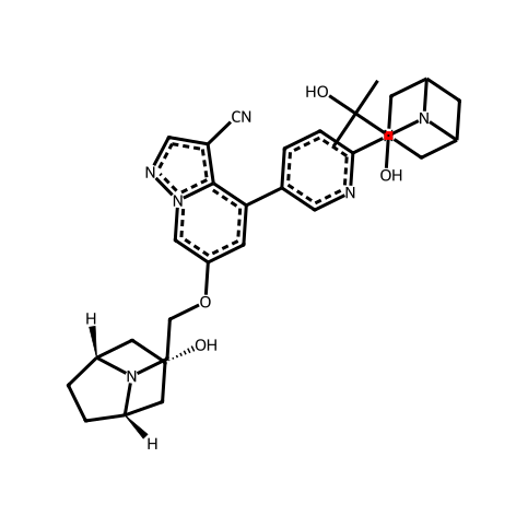 CC(C)(O)C(O)N1C2CC1CN(c1ccc(-c3cc(OCCN4[C@@H]5CC[C@H]4C[C@@H](O)C5)cn4ncc(C#N)c34)cn1)C2